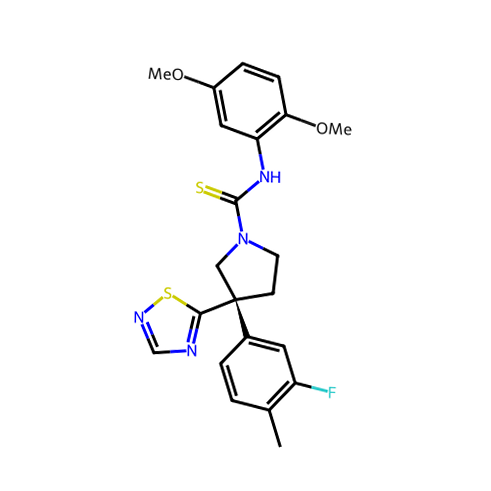 COc1ccc(OC)c(NC(=S)N2CC[C@](c3ccc(C)c(F)c3)(c3ncns3)C2)c1